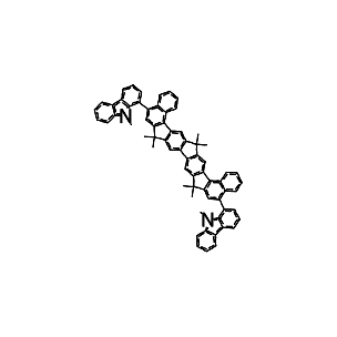 Cn1c2ccccc2c2cccc(-c3cc4c(c5ccccc35)-c3cc5c(cc3C4(C)C)-c3cc4c(cc3C5(C)C)-c3c(cc(-c5cccc6c7ccccc7n(C)c56)c5ccccc35)C4(C)C)c21